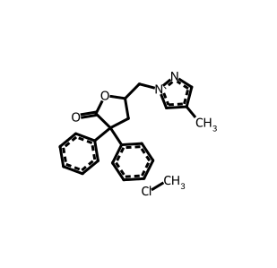 CCl.Cc1cnn(CC2CC(c3ccccc3)(c3ccccc3)C(=O)O2)c1